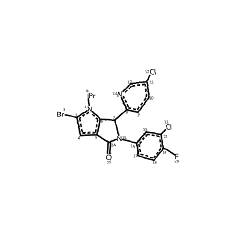 CC(C)n1c(Br)cc2c1C(c1ccc(Cl)cn1)N(c1ccc(F)c(Cl)c1)C2=O